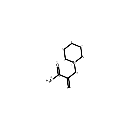 C=C(CN1CCCCC1)C(N)=O